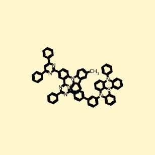 Cc1ccc2c(c1)c1ccccc1n2-c1ccc(-c2nc(-c3ccccc3)cc(-c3ccccc3)n2)cc1-c1nc(-c2ccccc2)nc(-c2ccc(-c3cccc(N4c5ccccc5B5c6ccccc6N(c6ccccc6)c6cccc4c65)c3)cc2)n1